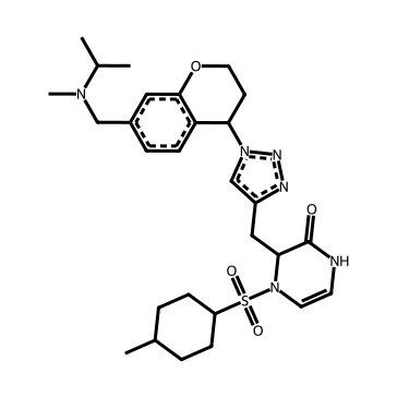 CC1CCC(S(=O)(=O)N2C=CNC(=O)C2Cc2cn(C3CCOc4cc(CN(C)C(C)C)ccc43)nn2)CC1